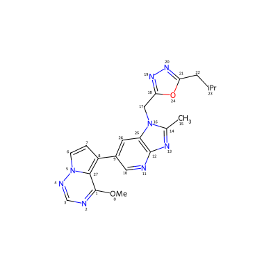 COc1ncnn2ccc(-c3cnc4nc(C)n(Cc5nnc(CC(C)C)o5)c4c3)c12